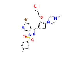 Cc1ccc(S(=O)(=O)n2nc(-c3ccc(N4CCN(C)CC4)c(OCCCO)c3)c3cc(Br)ncc32)cc1